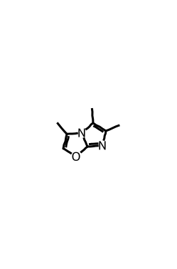 Cc1nc2occ(C)n2c1C